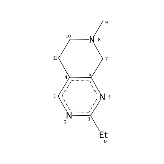 CCc1ncc2c(n1)CN(C)CC2